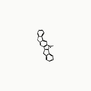 Cn1c2c(c3cc4c(cc31)-c1ccccc1C4)Cc1ccccc1-2